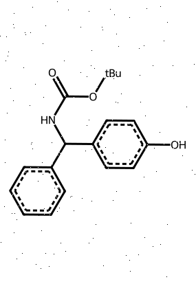 CC(C)(C)OC(=O)NC(c1ccccc1)c1ccc(O)cc1